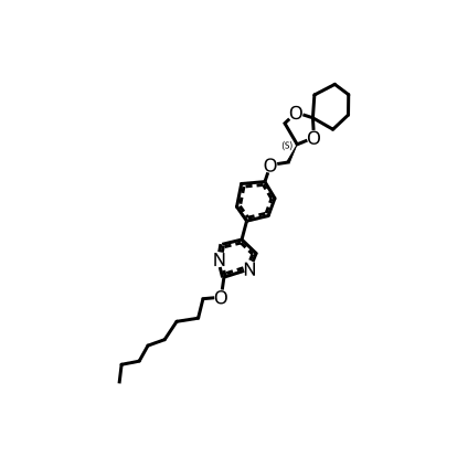 CCCCCCCCOc1ncc(-c2ccc(OC[C@H]3COC4(CCCCC4)O3)cc2)cn1